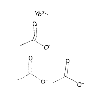 CC(=O)[O-].CC(=O)[O-].CC(=O)[O-].[Yb+3]